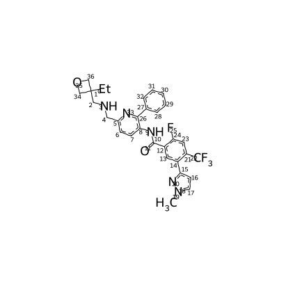 CCC1(CNCc2ccc(NC(=O)c3cc(-c4ccn(C)n4)c(C(F)(F)F)cc3F)c(-c3ccccc3)n2)COC1